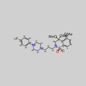 COc1cccc2c1C(OC)(OC)CN(CCCN1CCN(c3ccc(F)cc3)CC1)S2(=O)=O